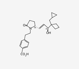 O=C(O)c1ccc(CCN2C(=O)CC[C@@H]2C=C[C@H](O)C2(CC3CC3)CCC2)cc1